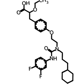 CCOC(Cc1ccc(OCCN(CCCC2CCCCC2)C(=O)Nc2ccc(F)c(F)c2)cc1)C(=O)O